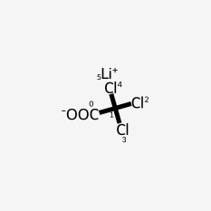 O=C([O-])C(Cl)(Cl)Cl.[Li+]